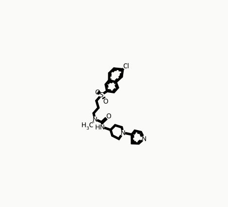 CN(CCCS(=O)(=O)c1ccc2cc(Cl)ccc2c1)C(=O)NC1CCN(c2ccncc2)CC1